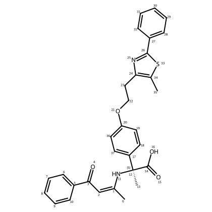 CC(=CC(=O)c1ccccc1)N[C@](C)(C(=O)O)c1ccc(OCCc2nc(-c3ccccc3)sc2C)cc1